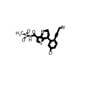 CS(=O)(=O)NC(=O)c1csc2c(-c3cc(Cl)ccc3C#CCBr)ccnc12